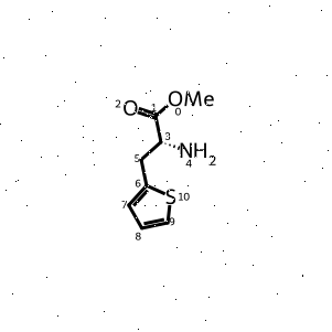 COC(=O)[C@H](N)Cc1cccs1